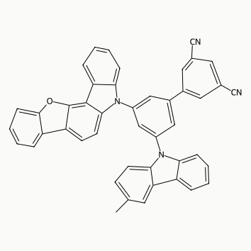 Cc1ccc2c(c1)c1ccccc1n2-c1cc(-c2cc(C#N)cc(C#N)c2)cc(-n2c3ccccc3c3c4oc5ccccc5c4ccc32)c1